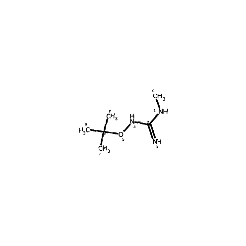 CNC(=N)NOC(C)(C)C